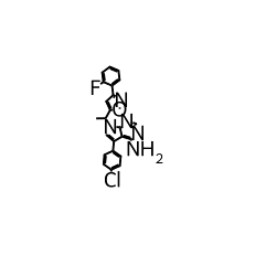 CC(c1cc(-c2ccccc2F)no1)n1cc(-c2ccc(Cl)cc2)c2c(N)ncnc21